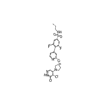 CCCNS(=O)(=O)c1cc(F)c(-c2ccnc(O[C@@H]3CCN(c4cn[nH]c(=O)c4Cl)C3)c2)c(F)c1